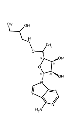 CC(ONCC(O)CO)[C@H]1O[C@@H](n2cnc3c(N)ncnc32)[C@H](O)[C@@H]1O